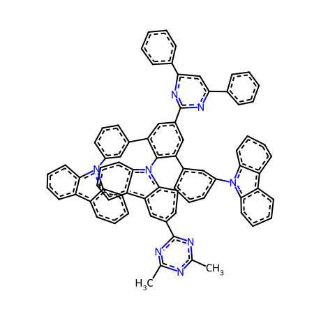 Cc1nc(C)nc(-c2ccc3c(c2)c2ccccc2n3-c2c(-c3cccc(-n4c5ccccc5c5ccccc54)c3)cc(-c3nc(-c4ccccc4)cc(-c4ccccc4)n3)cc2-c2cccc(-n3c4ccccc4c4ccccc43)c2)n1